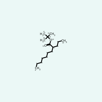 CCCCCCCC(CCC)C(=O)OC(C)(C)C